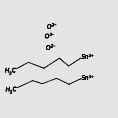 CCCC[CH2][Sn+3].CCCC[CH2][Sn+3].[O-2].[O-2].[O-2]